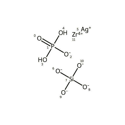 O=P([O-])(O)O.[Ag+].[O-][Si]([O-])([O-])[O-].[Zr+4]